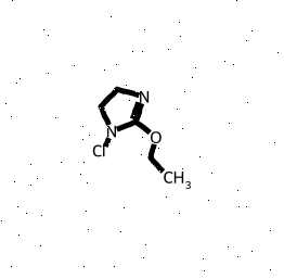 CCOC1=NCCN1Cl